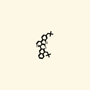 CC(C)(C)Cc1ccc2c(c1)nc1c3c(nccc32)-c2cc3ccccc3c(CC(C)(C)C)c2S1